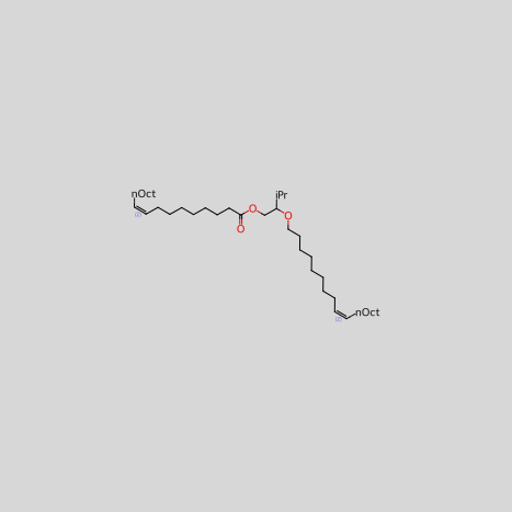 CCCCCCCC/C=C\CCCCCCCCOC(COC(=O)CCCCCCC/C=C\CCCCCCCC)C(C)C